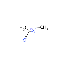 C=C/N=C(\C)C#N